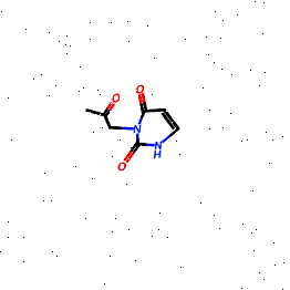 CC(=O)Cn1c(=O)cc[nH]c1=O